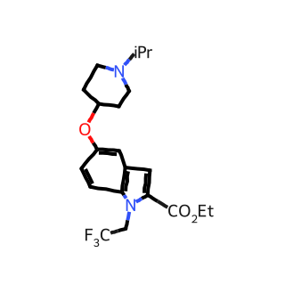 CCOC(=O)c1cc2cc(OC3CCN(C(C)C)CC3)ccc2n1CC(F)(F)F